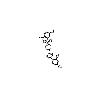 COc1ccc(Cl)cc1S(=O)(=O)N1CCN(c2nc(-c3ccc(Cl)cc3Cl)cs2)CC1